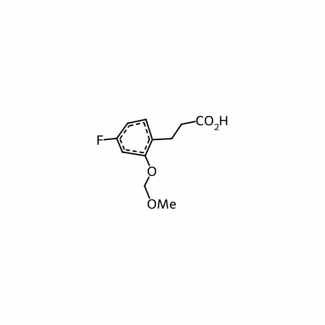 COCOc1cc(F)ccc1CCC(=O)O